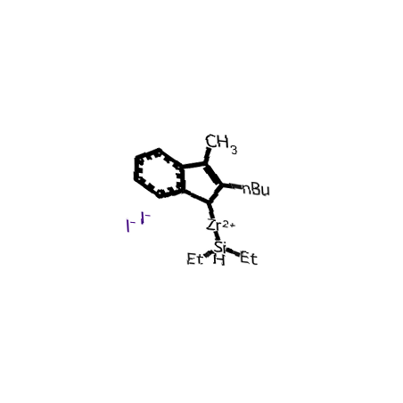 CCCCC1=C(C)c2ccccc2[CH]1[Zr+2][SiH](CC)CC.[I-].[I-]